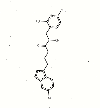 Cc1ccc(CC(O)C(=O)OCCc2csc3cc(O)ccc23)c(C(F)(F)F)n1